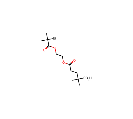 CCC(C)(C)C(=O)OCCOC(=O)CCC(C)(C)C(=O)O